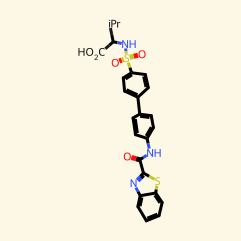 CC(C)C(NS(=O)(=O)c1ccc(-c2ccc(NC(=O)c3nc4ccccc4s3)cc2)cc1)C(=O)O